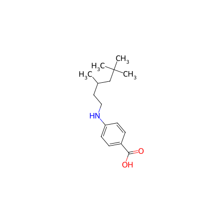 CC(CCNc1ccc(C(=O)O)cc1)CC(C)(C)C